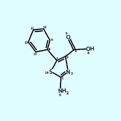 Nc1nc(C(=O)O)c(-c2ccccc2)s1